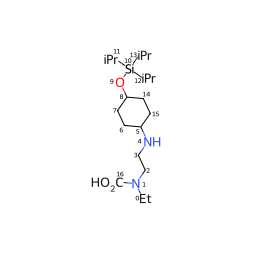 CCN(CCNC1CCC(O[Si](C(C)C)(C(C)C)C(C)C)CC1)C(=O)O